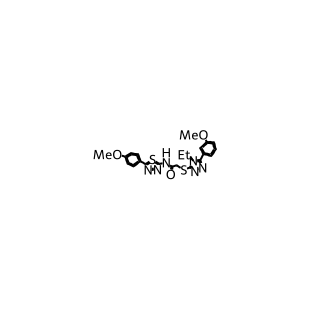 CCn1c(SCC(=O)Nc2nnc(-c3ccc(OC)cc3)s2)nnc1-c1cccc(OC)c1